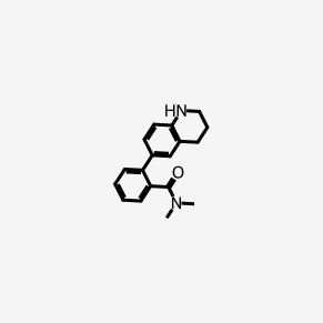 CN(C)C(=O)c1ccccc1-c1ccc2c(c1)CCCN2